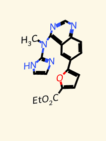 CCOC(=O)c1ccc(-c2ccc3ncnc(N(C)c4ncc[nH]4)c3c2)o1